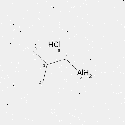 CC(C)[CH2][AlH2].Cl